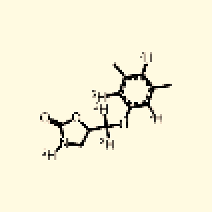 [2H]c1c(C)c([2H])c(OC([2H])([2H])C2CN([2H])C(=O)O2)c([2H])c1C